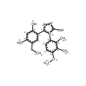 CCc1cc(-c2nnc(S)n2-c2ccc(OC)c(C)c2C)c(O)cc1O